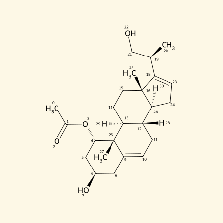 CC(=O)O[C@H]1C[C@H](O)CC2=CC[C@@H]3[C@H](CC[C@]4(C)C([C@H](C)CO)=CC[C@@H]34)[C@]21C